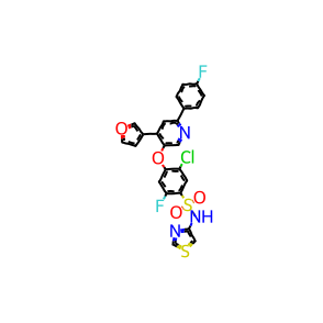 O=S(=O)(Nc1cscn1)c1cc(Cl)c(Oc2cnc(-c3ccc(F)cc3)cc2-c2ccoc2)cc1F